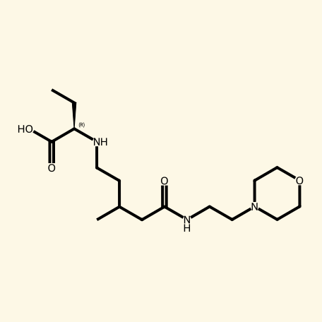 CC[C@@H](NCCC(C)CC(=O)NCCN1CCOCC1)C(=O)O